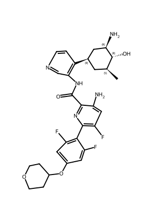 C[C@H]1C[C@@H](c2ccncc2NC(=O)c2nc(-c3c(F)cc(OC4CCOCC4)cc3F)c(F)cc2N)C[C@@H](N)[C@@H]1O